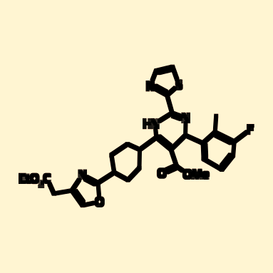 CCOC(=O)Cc1coc(C2CCC(C3=C(C(=O)OC)C(c4cccc(F)c4C)N=C(c4nccs4)N3)CC2)n1